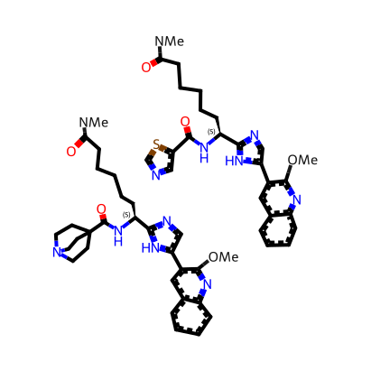 CNC(=O)CCCCC[C@H](NC(=O)C12CCN(CC1)CC2)c1ncc(-c2cc3ccccc3nc2OC)[nH]1.CNC(=O)CCCCC[C@H](NC(=O)c1cncs1)c1ncc(-c2cc3ccccc3nc2OC)[nH]1